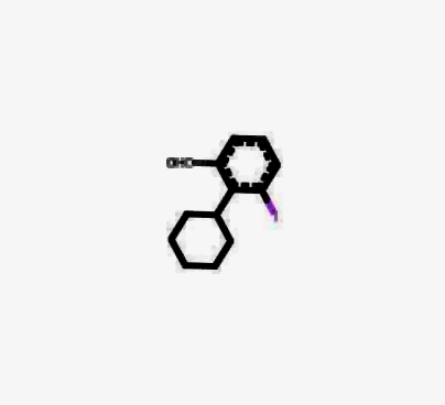 O=Cc1cccc(I)c1C1CCCCC1